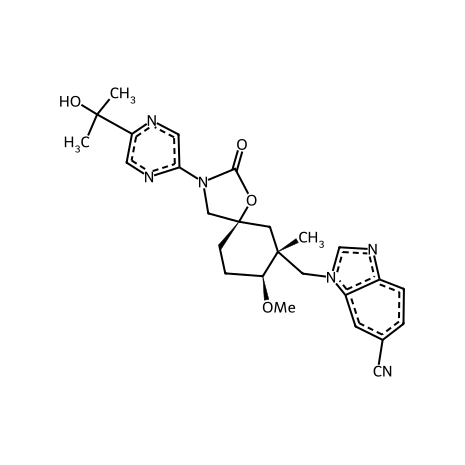 CO[C@H]1CC[C@]2(CN(c3cnc(C(C)(C)O)cn3)C(=O)O2)C[C@]1(C)Cn1cnc2ccc(C#N)cc21